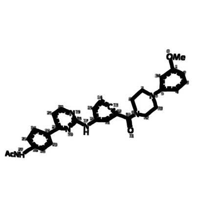 COc1cccc(N2CCN(C(=O)c3cccc(Nc4nccc(-c5ccc(NC(C)=O)cc5)n4)c3)CC2)c1